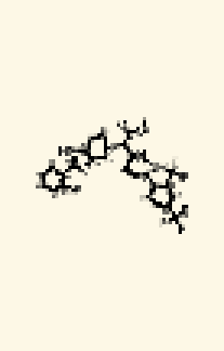 COC(=O)C(c1ccc(-c2ccc(C(F)(F)F)cc2C(F)(F)F)nn1)N1C=Cc2[nH]c(-c3ccccc3F)nc2C1